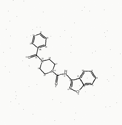 O=C(Nc1noc2ccccc12)N1CCN(C(=O)c2ccccc2)CC1